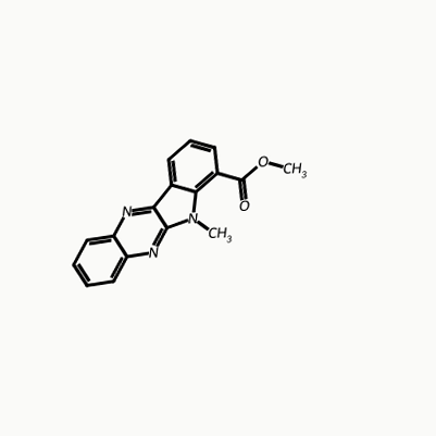 COC(=O)c1cccc2c3nc4ccccc4nc3n(C)c12